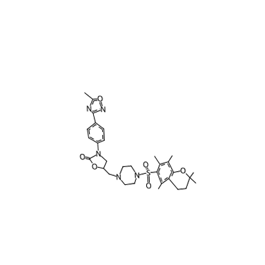 Cc1nc(-c2ccc(N3CC(CN4CCN(S(=O)(=O)c5c(C)c(C)c6c(c5C)CCC(C)(C)O6)CC4)OC3=O)cc2)no1